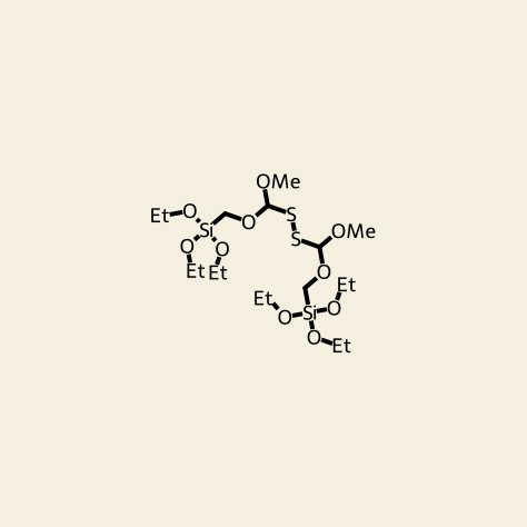 CCO[Si](COC(OC)SSC(OC)OC[Si](OCC)(OCC)OCC)(OCC)OCC